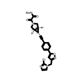 CCc1nccn1Cc1cc(-c2ccc(C#C[C@@H]3[C@H]4CN(C(=O)C(=O)NC)C[C@@H]34)cc2)on1